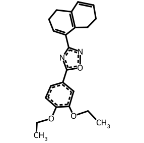 CCOc1ccc(-c2nc(C3=CCCC4=C3CCC=C4)no2)cc1OCC